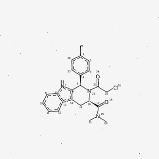 Cc1ccc([C@@H]2c3[nH]c4ccccc4c3C[C@H](C(=O)N(C)C)N2C(=O)CCl)cc1